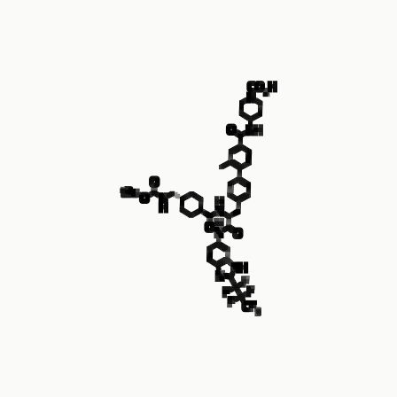 Cc1cc(C(=O)NC2CCN(C(=O)O)CC2)ccc1-c1ccc(C[C@H](NC(=O)[C@H]2CC[C@H](CNC(=O)OC(C)(C)C)CC2)C(=O)Nc2ccc3nc(C(F)(F)C(F)(F)C(F)(F)F)[nH]c3c2)cc1